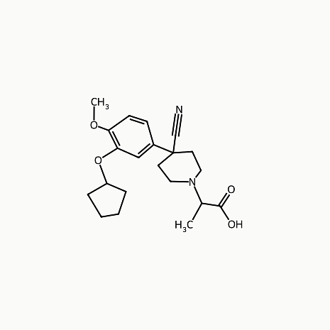 COc1ccc(C2(C#N)CCN(C(C)C(=O)O)CC2)cc1OC1CCCC1